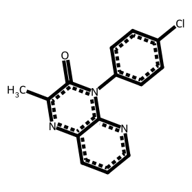 Cc1nc2cccnc2n(-c2ccc(Cl)cc2)c1=O